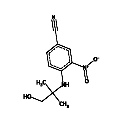 CC(C)(CO)Nc1ccc(C#N)cc1[N+](=O)[O-]